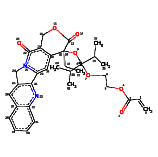 C=CC(=O)OCCO[Si](O[C@]1(CC)C(=O)OCc2c1cc1n(c2=O)Cc2cc3ccccc3nc2-1)(C(C)C)C(C)C